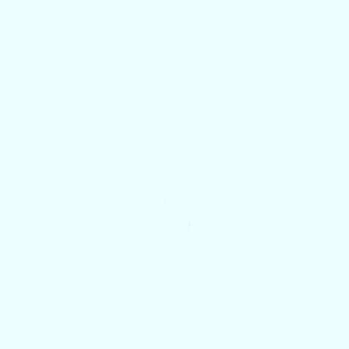 CC1(OC(=O)C(=O)OC2CCCCC2)CCCC1